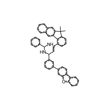 CC1(C)c2cc3ccccc3cc2-c2c(/C=C/C(NC(N)c3ccccc3)c3cccc(-c4ccc5c(c4)oc4ccccc45)c3)cccc21